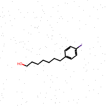 OCCCCCCCc1ccc(I)cc1